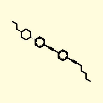 CCCCCC#Cc1ccc(C#Cc2ccc([C@H]3CC[C@H](CCC)CC3)cc2)cc1